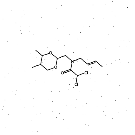 CC=CCN(CC1OCC(C)C(C)O1)C(=O)C(Cl)Cl